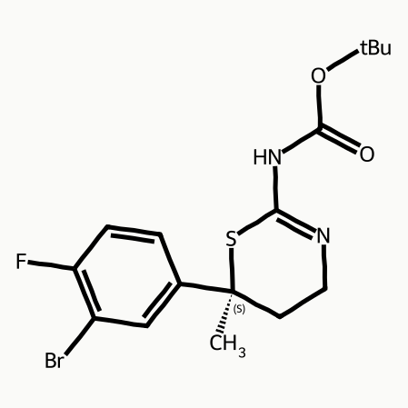 CC(C)(C)OC(=O)NC1=NCC[C@@](C)(c2ccc(F)c(Br)c2)S1